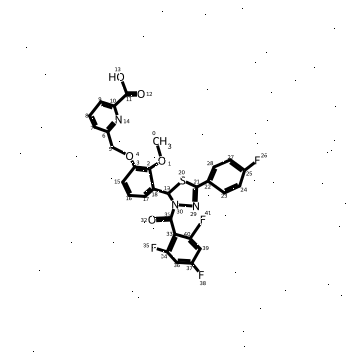 COc1c(OCc2cccc(C(=O)O)n2)cccc1C1SC(c2ccc(F)cc2)=NN1C(=O)c1c(F)cc(F)cc1F